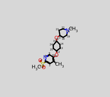 Cc1cc(S(C)(=O)=O)ncc1OC1CCC(OC2CCN(C)CC2)CC1